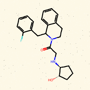 O=C(CN[C@H]1CCC[C@@H]1O)N1CCc2ccccc2C1Cc1ccccc1F